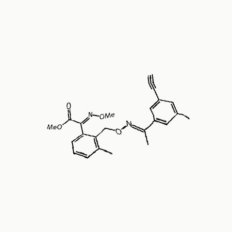 C#Cc1cc(C)cc(/C(C)=N/OCc2c(C)cccc2/C(=N\OC)C(=O)OC)c1